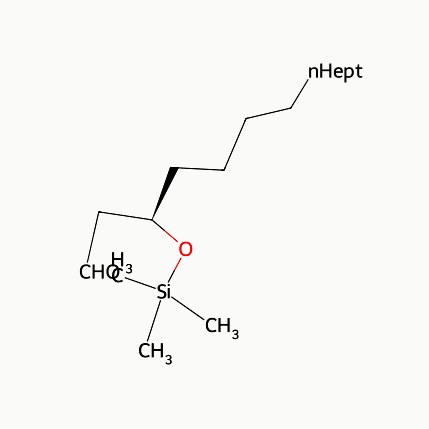 CCCCCCCCCCC[C@H](CC=O)O[Si](C)(C)C